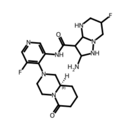 NC1NN2CC(F)CNC2C1C(=O)Nc1cncc(F)c1N1CCN2C(=O)CCC[C@@H]2C1